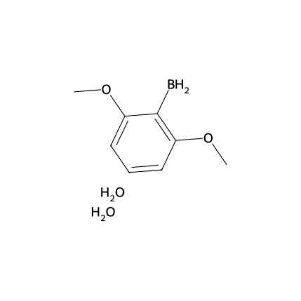 Bc1c(OC)cccc1OC.O.O